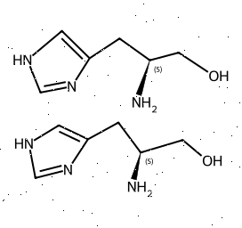 N[C@H](CO)Cc1c[nH]cn1.N[C@H](CO)Cc1c[nH]cn1